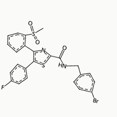 CS(=O)(=O)c1ccccc1-c1nc(C(=O)NCc2ccc(Br)cc2)sc1-c1ccc(F)cc1